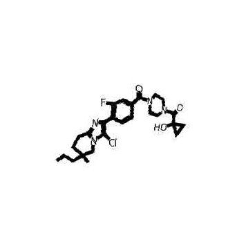 CCCC1(C)CCc2nc(-c3ccc(C(=O)N4CCN(C(=O)C5(O)CC5)CC4)cc3F)c(Cl)n2C1